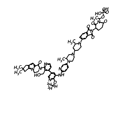 [2H]C([2H])([2H])Oc1ncc(-c2ccnc(N3CCn4c(cc5c4CC(C)(C)C5)C3=O)c2CO)cc1Nc1ccc(N2CCN(C3CCN(c4ccc5c(c4)C(=O)N(C4CCC(=O)N(C(C)OP(=O)(O)O)C4=O)C5=O)[C@H](C)C3)C[C@@H]2C)cn1